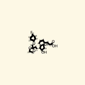 O=C(O)CCC/C=C\C[C@@H]1[C@@H](CCC2(COc3ccc(F)cc3)OCCO2)[C@H](O)C[C@H]1O